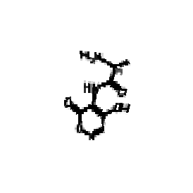 C[C@H](N)C(=O)Nc1c(O)cnoc1=O